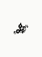 COc1ccc(C2(OC(C)=O)CC(=O)N(CCN(C)C)c3cc(C)ccc3S2)cc1